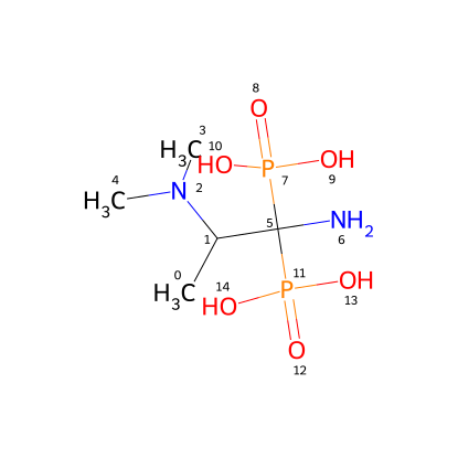 CC(N(C)C)C(N)(P(=O)(O)O)P(=O)(O)O